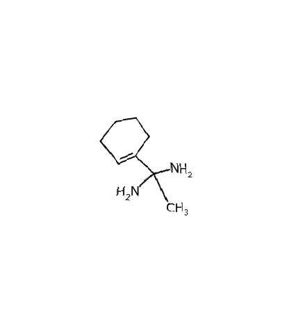 CC(N)(N)C1=CCCCC1